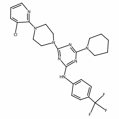 FC(F)(F)c1ccc(Nc2nc(N3CCCCC3)nc(N3CCN(c4ncccc4Cl)CC3)n2)cc1